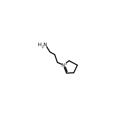 NCCC[N+]1=CCCC1